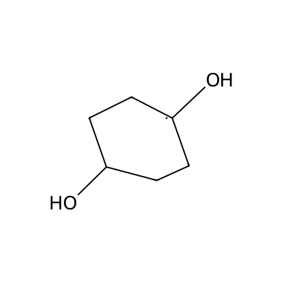 O[C]1CCC(O)CC1